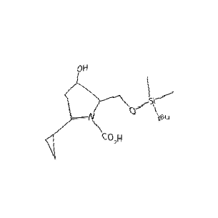 CC(C)(C)[Si](C)(C)OCC1C(O)CC(C2CC2)N1C(=O)O